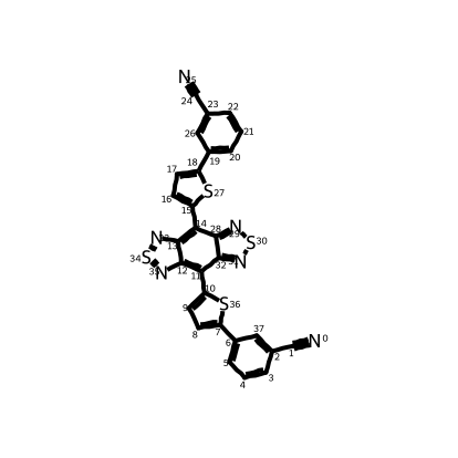 N#Cc1cccc(-c2ccc(-c3c4c(c(-c5ccc(-c6cccc(C#N)c6)s5)c5nsnc35)N=S=N4)s2)c1